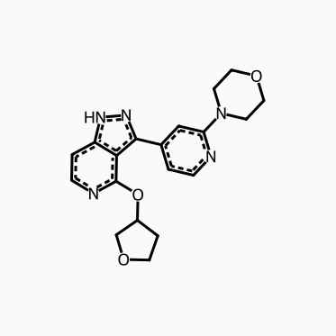 c1cc(-c2n[nH]c3ccnc(OC4CCOC4)c23)cc(N2CCOCC2)n1